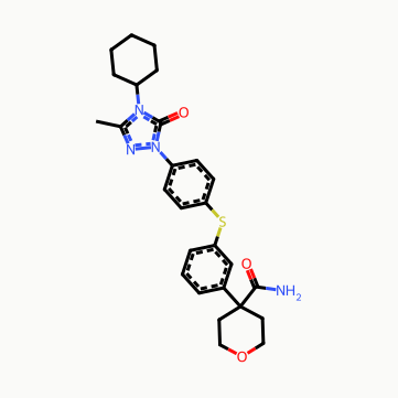 Cc1nn(-c2ccc(Sc3cccc(C4(C(N)=O)CCOCC4)c3)cc2)c(=O)n1C1CCCCC1